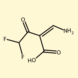 NC=C(C(=O)O)C(=O)C(F)F